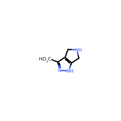 O=C(O)c1n[nH]c2c1CNC2